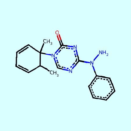 CC1C=CC=CC1(C)n1cnc(N(N)c2ccccc2)nc1=O